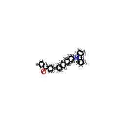 O=C(c1ccccc1)c1ccc(-c2ccc3c(c2)Cc2cc4ccc(-n5c6ccccc6c6ccccc65)cc4cc2C3)cc1